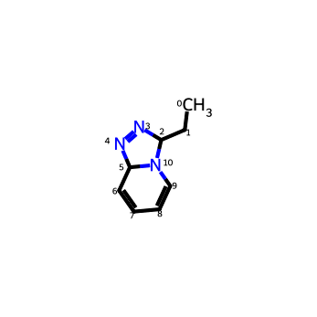 CCC1N=NC2C=CC=CN21